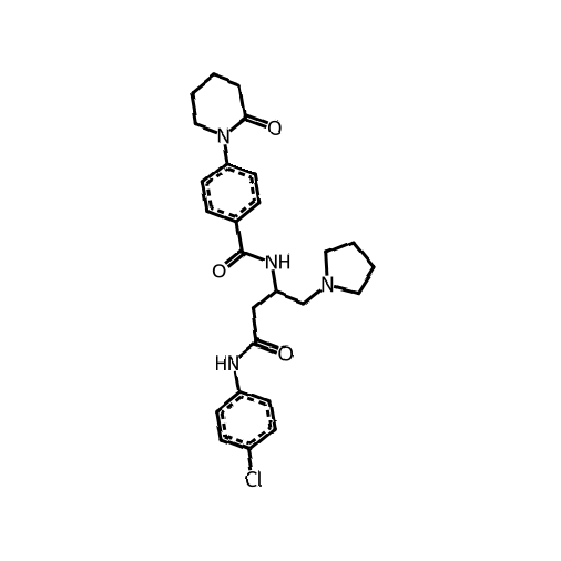 O=C(CC(CN1CCCC1)NC(=O)c1ccc(N2CCCCC2=O)cc1)Nc1ccc(Cl)cc1